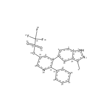 Cc1n[nH]c2ccc(-c3cc(OS(=O)(=O)C(F)(F)F)cnc3-c3ccccc3)cc12